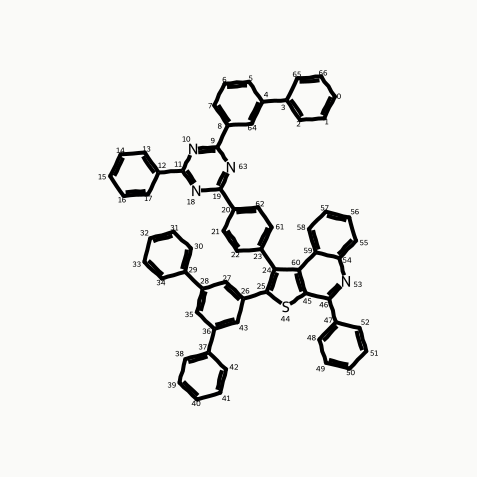 c1ccc(-c2cccc(-c3nc(-c4ccccc4)nc(-c4ccc(-c5c(-c6cc(-c7ccccc7)cc(-c7ccccc7)c6)sc6c(-c7ccccc7)nc7ccccc7c56)cc4)n3)c2)cc1